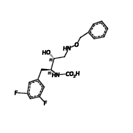 O=C(O)N[C@@H](Cc1cc(F)cc(F)c1)[C@H](O)CNOCc1ccccc1